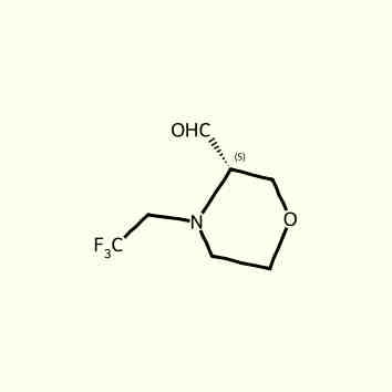 O=C[C@@H]1COCCN1CC(F)(F)F